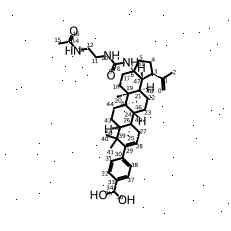 C=C(C)[C@@H]1CC[C@]2(NC(=O)NCCNC(C)=O)CC[C@]3(C)[C@H](CC[C@@H]4[C@@]5(C)CC=C(c6ccc(C(O)O)cc6)C(C)(C)[C@@H]5CC[C@]43C)[C@@H]12